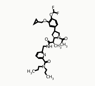 CCCN(CCC)C(=O)c1cccc(CNC(=O)[C@H](C)[C@H]2CC(c3ccc(OC(F)F)c(OCC4CC4)c3)CN2C(C)=O)n1